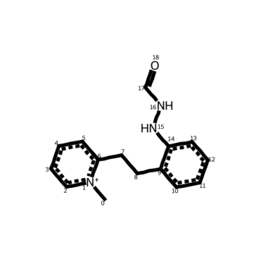 C[n+]1ccccc1CCc1ccccc1NNC=O